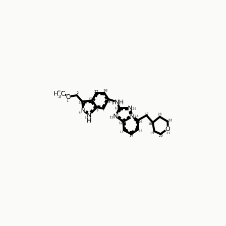 COCc1n[nH]c2cc(Nc3nc4cccc(CC5CCOCC5)n4n3)ccc12